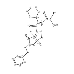 CCC(NC)C(=O)N[C@@H](C(=O)N1CC[C@H]2CN(CCc3ccccc3)C(=O)[C@H]21)C1CCCCC1